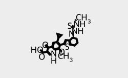 CCNC(=S)N/N=C1\CCCc2sc(-c3c(C4CC4)cc4c(=O)c(C(=O)O)c[nH]c4c3OC)cc21